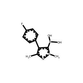 Cc1nn(C)c(B(O)O)c1-c1ccc(F)cc1